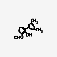 Cc1cc(C)cc(-c2cccc(C=O)c2O)c1